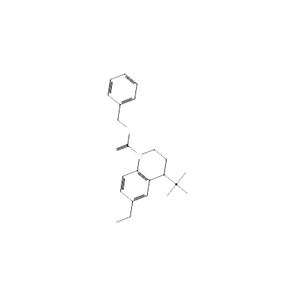 CCc1ccc2c(c1)C(C(C)(C)C)CCN2C(=O)OCc1ccccc1